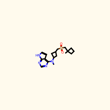 CN(c1ncnc2[nH]ccc12)C1CC(CS(=O)(=O)CC2(C)CCC2)C1